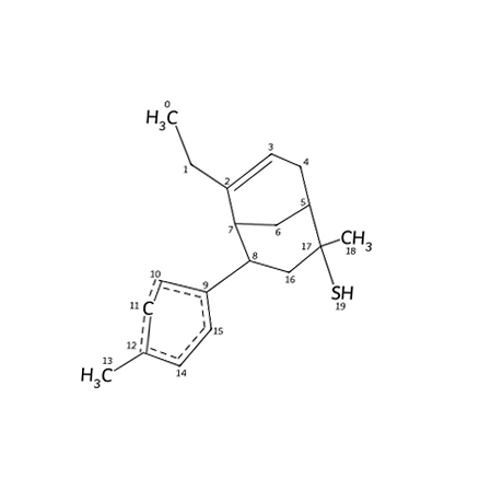 CCC1=CCC2CC1C(c1ccc(C)cc1)CC2(C)S